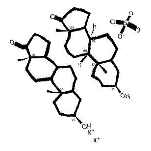 C[C@]12CC[C@H](O)CC1CCC1C2CC[C@]2(C)C(=O)CCC12.C[C@]12CC[C@H](O)CC1CC[C@@H]1C3CCC(=O)[C@@]3(C)CC[C@H]12.O=S(=O)([O-])[O-].[K+].[K+]